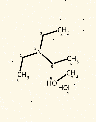 CCN(CC)CC.CO.Cl